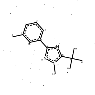 Cc1cccc(-c2nc(C(C)(C)C)n(C)n2)c1